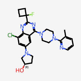 Cc1cccnc1N1CCN(c2nc(C3(F)CCC3)nc3c(Cl)cc(N4CC[C@@H](O)C4)cc23)CC1